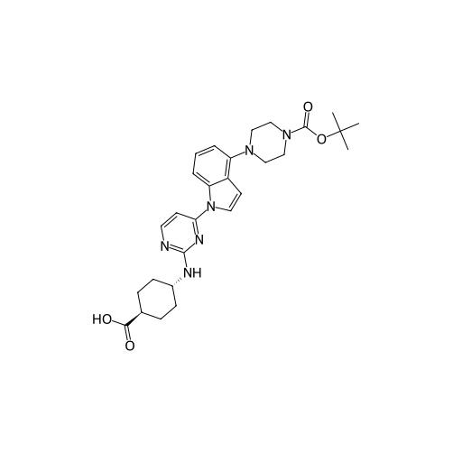 CC(C)(C)OC(=O)N1CCN(c2cccc3c2ccn3-c2ccnc(N[C@H]3CC[C@H](C(=O)O)CC3)n2)CC1